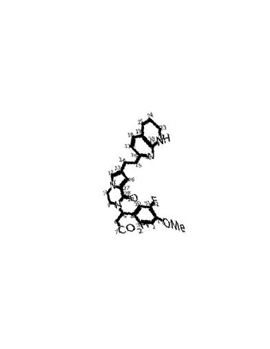 COc1ccc(C(CC(=O)O)N2CCn3cc(CCc4ccc5c(n4)NCCC5)cc3C2=O)cc1F